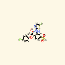 CC(Oc1ccc(F)cc1F)(C(=O)Nc1ncc(F)s1)c1ccc(S(C)(=O)=O)cc1